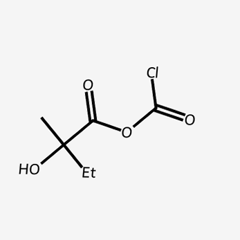 CCC(C)(O)C(=O)OC(=O)Cl